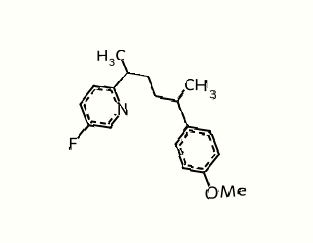 COc1ccc(C(C)CCC(C)c2ccc(F)cn2)cc1